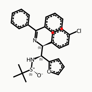 CC(C)(C)[S@@+]([O-])N[C@H](c1ccco1)[C@@H](N=C(c1ccccc1)c1ccccc1)c1ccc(Cl)cc1